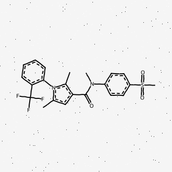 Cc1cc(C(=O)N(C)c2ccc(S(C)(=O)=O)cc2)c(C)n1-c1ccccc1C(F)(F)F